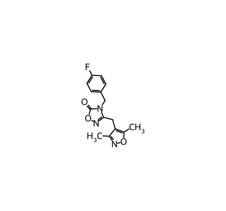 Cc1noc(C)c1Cc1noc(=O)n1Cc1ccc(F)cc1